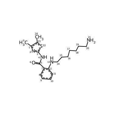 Cc1nc(NC(=O)c2ccccc2NCCCCCCCN)sc1C